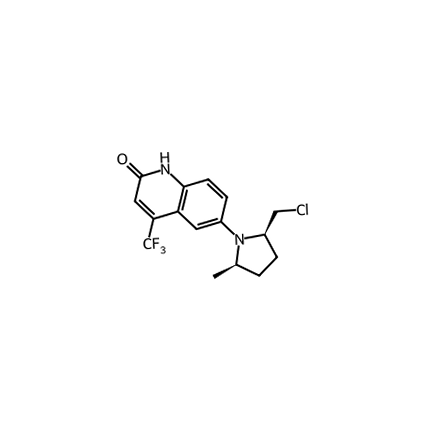 C[C@@H]1CC[C@H](CCl)N1c1ccc2[nH]c(=O)cc(C(F)(F)F)c2c1